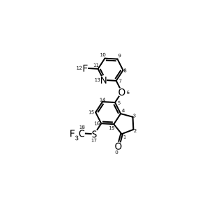 O=C1CCc2c(Oc3cccc(F)n3)ccc(SC(F)(F)F)c21